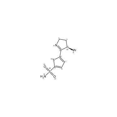 CC(C)[C@@H]1CCN=C1c1ccc(S(N)(=O)=O)s1